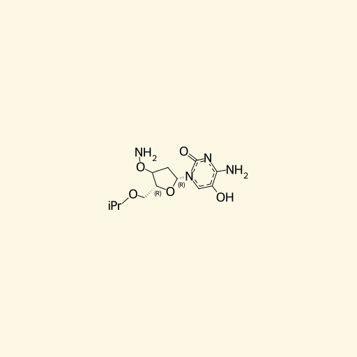 CC(C)OC[C@H]1O[C@@H](n2cc(O)c(N)nc2=O)CC1ON